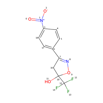 O=[N+]([O-])c1ccc(C2=NOC(O)(C(F)(F)F)C2)cc1